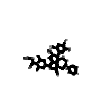 CC1CN(c2nc(=O)n3c4c(c(-c5cc(Cl)c(F)cc5F)c(C(F)(F)F)cc24)SC[C@H](c2ccncc2)C3)CC(C)N1C(=O)OC(C)(C)C